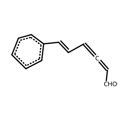 O=[C]C=C=C/C=C/c1ccccc1